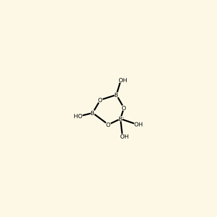 OB1OB(O)O[B-](O)(O)O1